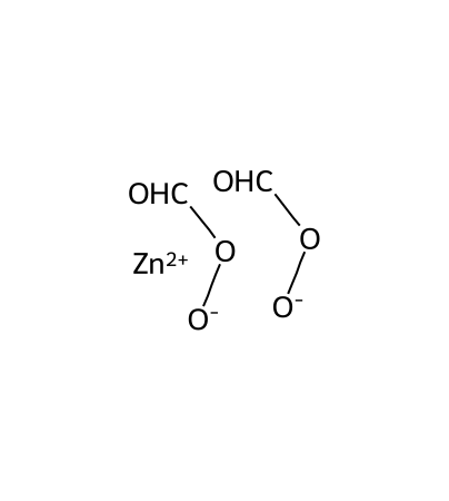 O=CO[O-].O=CO[O-].[Zn+2]